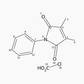 CC1=C(C)C(=O)N(c2ccccc2)C1=O.O=C(O)Cl